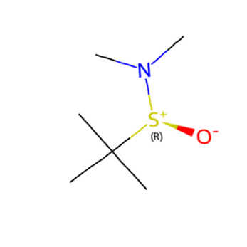 CN(C)[S@@+]([O-])C(C)(C)C